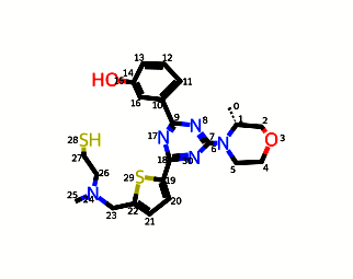 C[C@@H]1COCCN1c1nc(-c2cccc(O)c2)nc(-c2ccc(CN(C)CCS)s2)n1